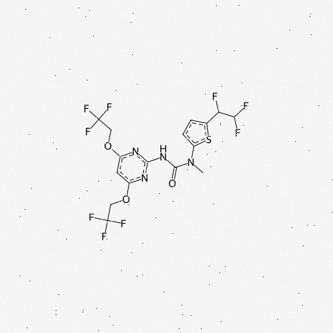 CN(C(=O)Nc1nc(OCC(F)(F)F)cc(OCC(F)(F)F)n1)c1ccc(C(F)C(F)F)s1